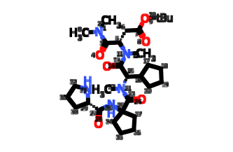 CN(C)C(=O)[C@H](CC(=O)OC(C)(C)C)N(C)C(=O)[C@H](C1CCCC1)N(C)C(=O)C1(NC(=O)[C@@H]2CCCN2)CCCC1